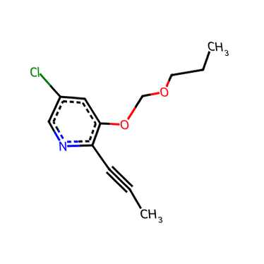 CC#Cc1ncc(Cl)cc1OCOCCC